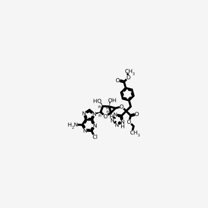 CCOC(=O)C(Cc1ccc(C(=O)OC)cc1)(OC1[C@H]2O[C@@H](n3cnc4c(N)nc(Cl)nc43)[C@H](O)[C@@]12O)c1nnn[nH]1